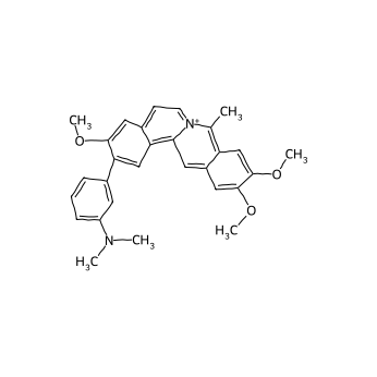 COc1cc2cc3c4cc(-c5cccc(N(C)C)c5)c(OC)cc4cc[n+]3c(C)c2cc1OC